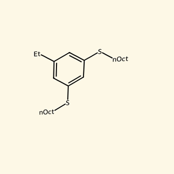 CCCCCCCCSc1cc(CC)cc(SCCCCCCCC)c1